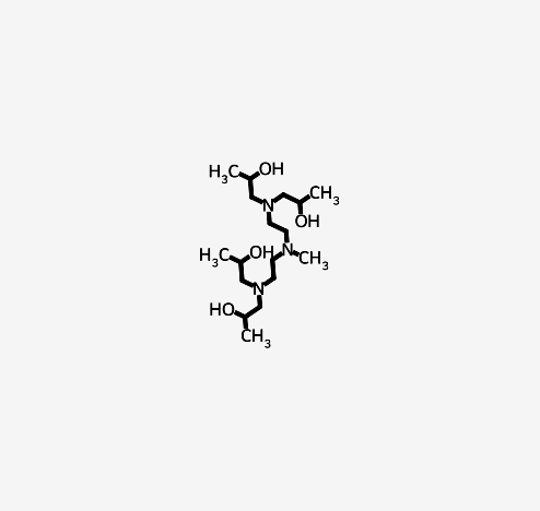 CC(O)CN(CCN(C)CCN(CC(C)O)CC(C)O)CC(C)O